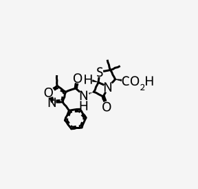 Cc1onc(-c2ccccc2)c1C(=O)N[C@H]1C(=O)N2[C@H]1SC(C)(C)[C@H]2C(=O)O